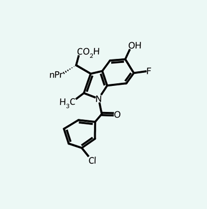 CCC[C@H](C(=O)O)c1c(C)n(C(=O)c2cccc(Cl)c2)c2cc(F)c(O)cc12